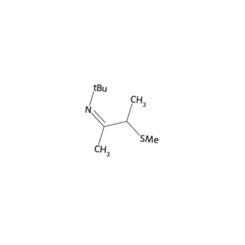 CSC(C)/C(C)=N\C(C)(C)C